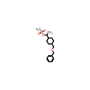 CC(OS(C)(=O)=O)C1CCC(COCc2ccccc2)CC1